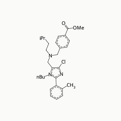 CCCCn1c(-c2ccccc2C)nc(Cl)c1CN(CCC(C)C)Cc1ccc(C(=O)OC)cc1